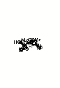 COc1c(OCCC(NC(=O)OCc2ccccc2)C(=O)OCC(O)CO)cc2c(c1OC)C1CCCC1C(=NNC1=NCCCN1)CC2